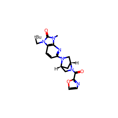 Cn1c(=O)n(CC(C)(C)C)c2ccc(N3C[C@H]4C[C@@H]3CN4C(=O)c3ncco3)nc21